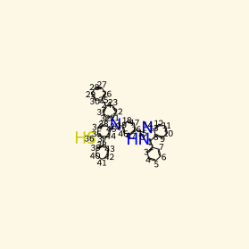 N=C(c1ccccc1)c1ccccc1/N=C/c1ccc(-n2c3ccc(-c4ccccc4)cc3c3cc(S)c(C4=CCCC=C4)cc32)cc1